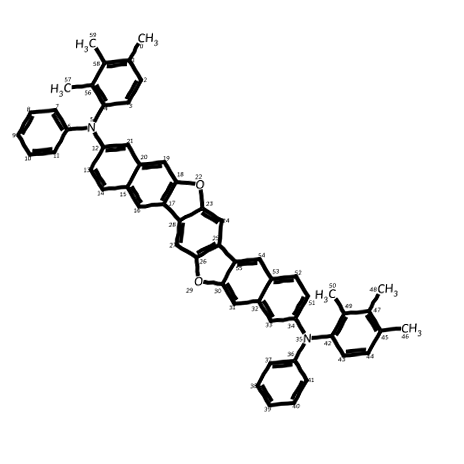 Cc1ccc(N(c2ccccc2)c2ccc3cc4c(cc3c2)oc2cc3c(cc24)oc2cc4cc(N(c5ccccc5)c5ccc(C)c(C)c5C)ccc4cc23)c(C)c1C